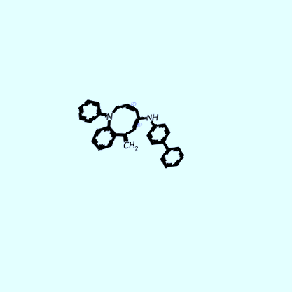 C=C1/C=C(Nc2ccc(-c3ccccc3)cc2)\C=C/CN(c2ccccc2)c2ccccc21